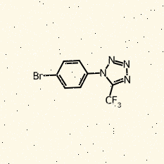 FC(F)(F)c1nnnn1-c1ccc(Br)cc1